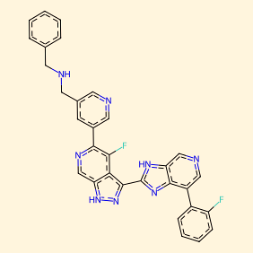 Fc1ccccc1-c1cncc2[nH]c(-c3n[nH]c4cnc(-c5cncc(CNCc6ccccc6)c5)c(F)c34)nc12